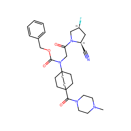 CN1CCN(C(=O)C23CCC(N(CC(=O)N4C[C@@H](F)C[C@H]4C#N)C(=O)OCc4ccccc4)(CC2)CC3)CC1